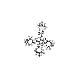 CC1(C)CCC(OC(=O)CCC(C(=O)OC2CCC(C)(C)NC(C)(C)C2)C(C(=O)OC2CCC(C)(C)NC(C)(C)C2)C(=O)OC2CCC(C)(C)NC(C)(C)C2)CC(C)(C)N1